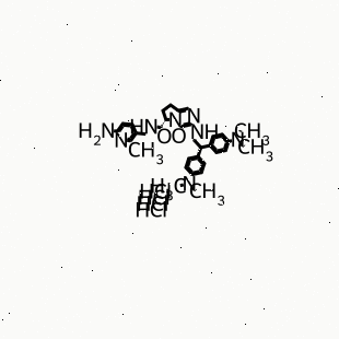 Cc1nc(N)ccc1CNC(=O)[C@@H]1CCc2cnc(NCC(c3ccc(N(C)C)cc3)c3ccc(N(C)C)cc3)c(=O)n21.Cl.Cl.Cl.Cl